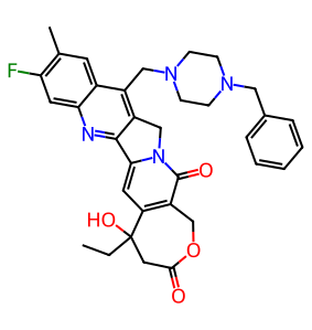 CCC1(O)CC(=O)OCc2c1cc1n(c2=O)Cc2c-1nc1cc(F)c(C)cc1c2CN1CCN(Cc2ccccc2)CC1